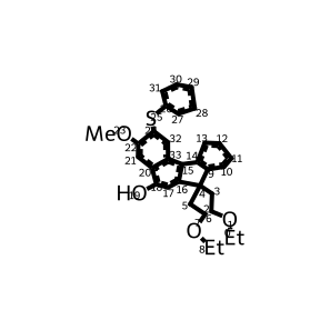 CCOCCC1(CCOCC)c2ccccc2-c2c1cc(O)c1cc(OC)c(Sc3ccccc3)cc21